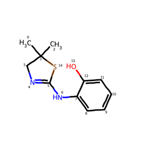 CC1(C)CN=C(Nc2ccccc2O)S1